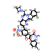 CNC(=O)c1c(-c2ccc(C)cc2)oc2cc(N(C)S(C)(=O)=O)c(-c3ccc4nc(CN5CC(F)C5)n5c6cccc(F)c6cc5c4n3)cc12